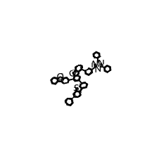 c1ccc(-c2ccc3c(c2)sc2c(-c4cc(-c5ccc6c(c5)oc5ccccc56)c5oc6cccc(-c7cccc(-c8nc(-c9ccccc9)nc(-c9ccccc9)n8)c7)c6c5c4)cccc23)cc1